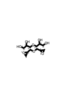 C(OCC1CO1)C1CO1.OCC(O)COCC(O)CO